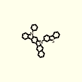 c1ccc(-n2c3ccccc3c3cc4c5cc6ccccc6cc5n(-c5ccc6c(c5)sc5ccccc56)c4cc32)cc1